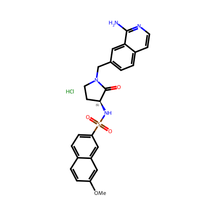 COc1ccc2ccc(S(=O)(=O)N[C@H]3CCN(Cc4ccc5ccnc(N)c5c4)C3=O)cc2c1.Cl